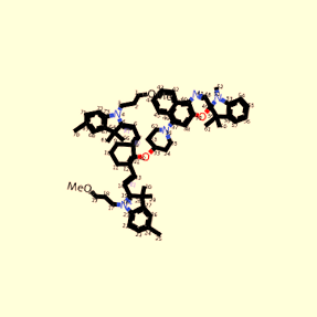 COCCCN1/C(=C/C=C2\CCCC(/C=C/C3=[N+](CCCOC)c4ccc(C)cc4C3(C)C)=C2OC2CCN(c3cc4c(c5ccccc35)N=CC3(O4)N(C)c4ccccc4C3(C)C)CC2)C(C)(C)c2cc(C)ccc21